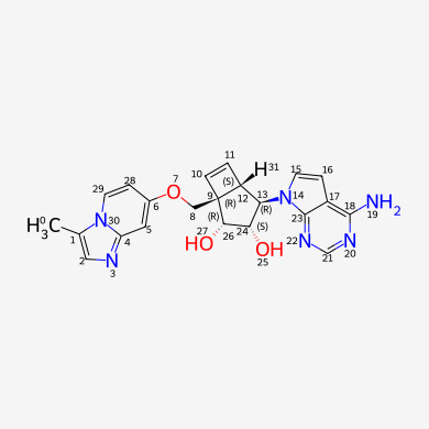 Cc1cnc2cc(OC[C@@]34C=C[C@@H]3[C@@H](n3ccc5c(N)ncnc53)[C@H](O)[C@@H]4O)ccn12